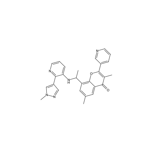 Cc1cc(C(C)Nc2cccnc2-c2cnn(C)c2)c2oc(-c3cccnc3)c(C)c(=O)c2c1